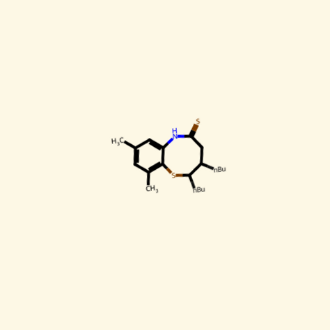 CCCCC1CC(=S)Nc2cc(C)cc(C)c2SC1CCCC